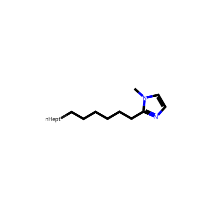 CCCCCCCCCCCCCc1nccn1C